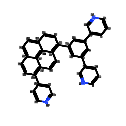 c1cncc(-c2cc(-c3cccnc3)cc(-c3ccc4ccc5ccc(-c6ccncc6)c6ccc3c4c56)c2)c1